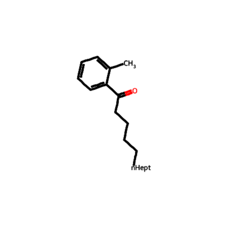 CCCCCCCCCCCC(=O)c1ccccc1C